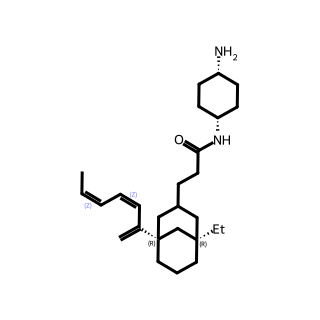 C=C(/C=C\C=C/C)[C@]12CCC[C@](CC)(CC(CCC(=O)N[C@H]3CC[C@@H](N)CC3)C1)C2